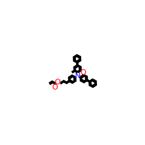 C=CC(=O)OCCCc1ccc(N2c3ccc(-c4ccccc4)cc3OC3=CC(c4ccccc4)=CC(C)C32)cc1